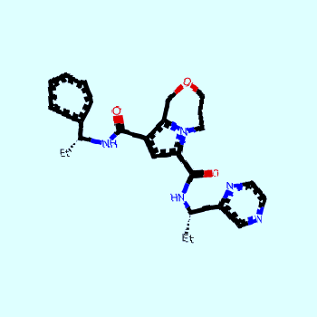 CC[C@H](NC(=O)c1cc(C(=O)N[C@H](CC)c2ccccc2)c2n1CCOC2)c1cnccn1